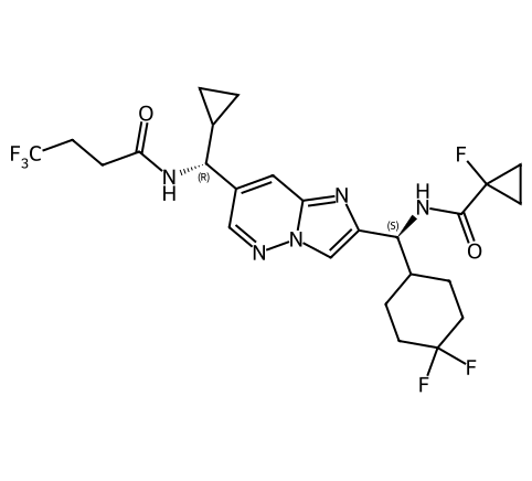 O=C(CCC(F)(F)F)N[C@@H](c1cnn2cc([C@@H](NC(=O)C3(F)CC3)C3CCC(F)(F)CC3)nc2c1)C1CC1